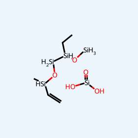 C=C[SiH](C)O[SiH2][SiH](CC)O[SiH3].O=[Si](O)O